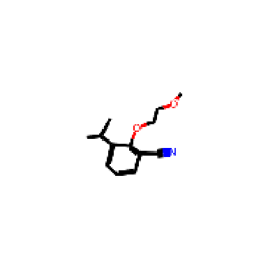 COCCOc1c(C#N)cccc1C(C)C